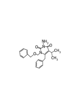 CC(C)c1c(Cc2ccccc2)n(COCc2ccccc2)c(=O)n(N)c1=O